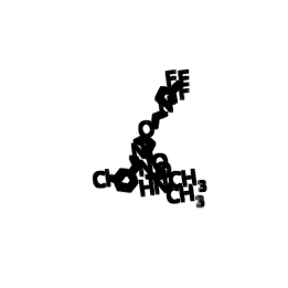 CC(C)NC(=O)Cn1c(C2C=C(Cl)C=CC2)cn2cc(OCCCN3CCC(C(F)(F)F)C3)cc2c1=O